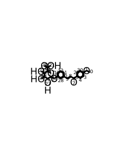 COc1ccc(C(=O)/C=C/c2cccc(OC3OC(C(=O)O)C(O)C(O)C3O)c2)cc1